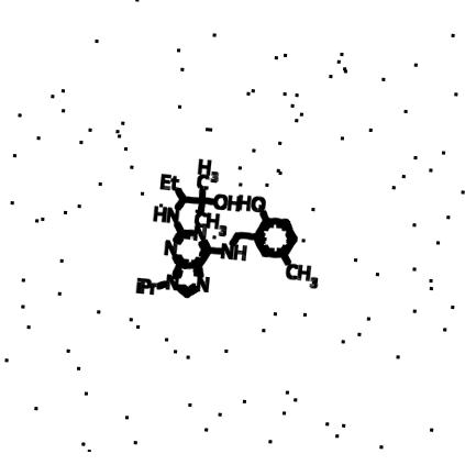 CCC(Nc1nc(NCc2cc(C)ccc2O)c2ncn(C(C)C)c2n1)C(C)(C)O